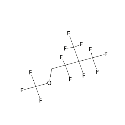 FC(F)(F)OCC(F)(F)C(F)(C(F)(F)F)C(F)(F)F